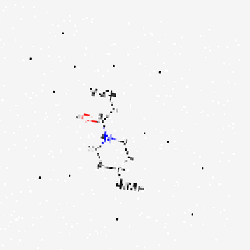 CNCC(=O)N1CCC(NC)CC1